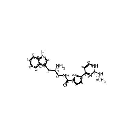 CNC1N=C(c2ccc(C(=O)NC[C@@H](N)Cc3c[nH]c4ccccc34)s2)C=CN1